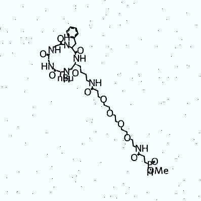 CCCCC1NC(=O)[C@H](CCCCNC(=O)CCOCCOCCOCCOCCNC(=O)CC[PH](=O)OC)NC(=O)C(Cc2ccccc2)NC(=O)CNC(=O)CNC1=O